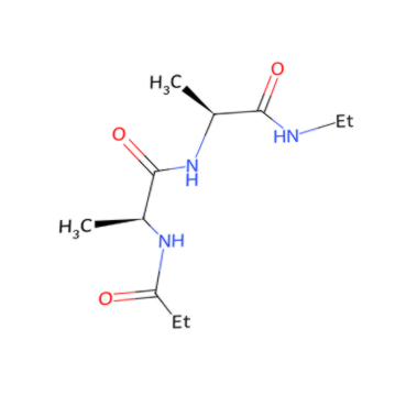 CCNC(=O)[C@H](C)NC(=O)[C@H](C)NC(=O)CC